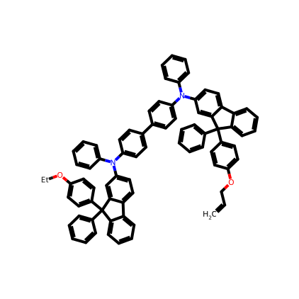 C=CCOc1ccc(C2(c3ccccc3)c3ccccc3-c3ccc(N(c4ccccc4)c4ccc(-c5ccc(N(c6ccccc6)c6ccc7c(c6)C(c6ccccc6)(c6ccc(OCC)cc6)c6ccccc6-7)cc5)cc4)cc32)cc1